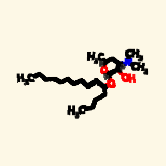 CCCCCCCCCCC(CCCC)O[C@@H]1O[C@H](C)C[C@H](N(C)C)[C@H]1O